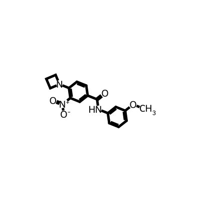 COc1cccc(NC(=O)c2ccc(N3CCC3)c([N+](=O)[O-])c2)c1